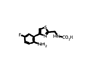 Nc1ccc(F)cc1-c1csc(CNC(=O)O)n1